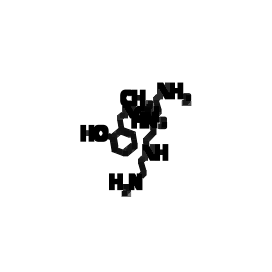 CN(C)Cc1ccccc1O.NCCNCCNCCN